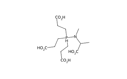 CC(C(=O)O)N(C)[PH](CCC(=O)O)(CCC(=O)O)CCC(=O)O